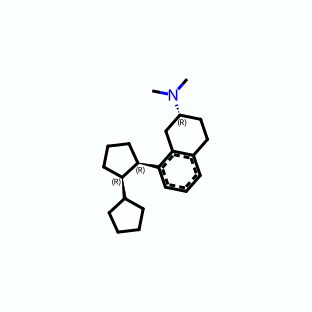 CN(C)[C@@H]1CCc2cccc([C@@H]3CCC[C@@H]3C3CCCC3)c2C1